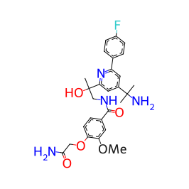 COc1cc(C(=O)NCC(C)(O)c2cc(C(C)(C)N)cc(-c3ccc(F)cc3)n2)ccc1OCC(N)=O